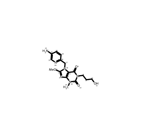 COc1nc2c(c(=O)n(CCCO)c(=O)n2C)n1Cc1ccc(N)cn1